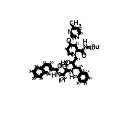 Cc1ccnc(OC2CCN(CC(O)C(Cc3ccccc3)NC(=O)[C@@H](NC(=O)c3ccc4ccccc4n3)C(C)C)C(C(=O)NC(C)(C)C)C2)n1